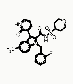 O=C(NS(=O)(=O)C1CCOCC1)c1c(-c2ccc[nH]c2=O)c2cc(C(F)(F)F)ccc2n1Cc1ccccc1F